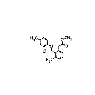 COC(=O)Cc1cccc(C)c1COc1ccc(C)cc1Cl